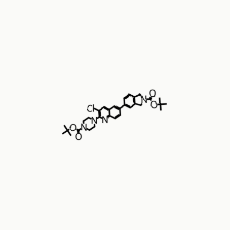 CC(C)(C)OC(=O)N1CCN(c2nc3ccc(-c4ccc5c(c4)CN(C(=O)OC(C)(C)C)C5)cc3cc2Cl)CC1